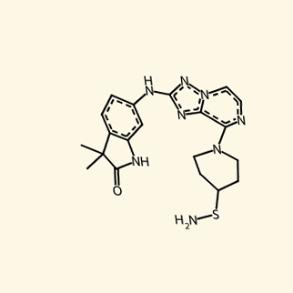 CC1(C)C(=O)Nc2cc(Nc3nc4c(N5CCC(SN)CC5)nccn4n3)ccc21